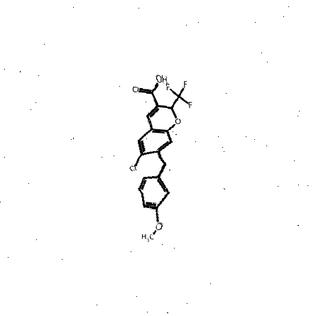 COc1cccc(Cc2cc3c(cc2Cl)C=C(C(=O)O)C(C(F)(F)F)O3)c1